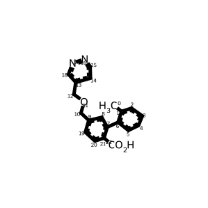 Cc1ccccc1-c1cc(COCc2ccnnc2)ccc1C(=O)O